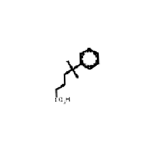 CC(C)(CCCC(=O)O)c1ccccc1